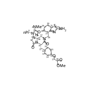 CCCN(C(=O)NC)N1CC(=O)N2[C@@H](Cc3ccc(OCC(=O)OC)cc3)C(=O)N(Cc3cccc4sc(N)nc34)C[C@@H]21